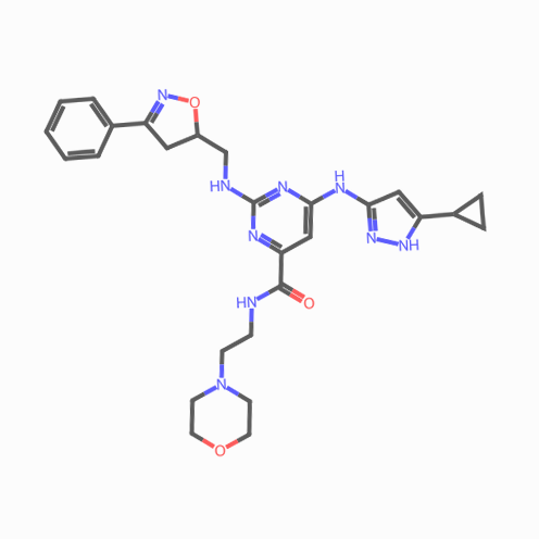 O=C(NCCN1CCOCC1)c1cc(Nc2cc(C3CC3)[nH]n2)nc(NCC2CC(c3ccccc3)=NO2)n1